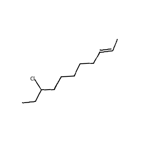 CC=CCCCCCC(Cl)CC